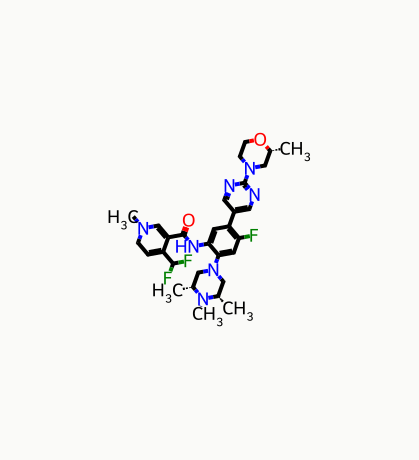 C[C@@H]1CN(c2ncc(-c3cc(NC(=O)C4=CN(C)CC=C4C(F)F)c(N4C[C@@H](C)N(C)[C@@H](C)C4)cc3F)cn2)CCO1